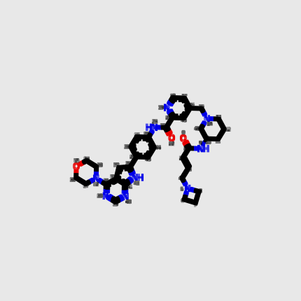 O=C(/C=C/CN1CCC1)N[C@@H]1CCCN(Cc2ccnc(C(=O)Nc3ccc(-c4cc5c(N6CCOCC6)ncnc5[nH]4)cc3)c2)C1